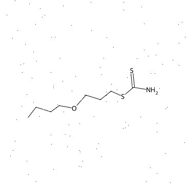 CCCCOCCCSC(N)=S